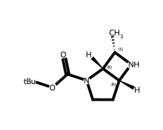 C[C@@H]1N[C@@H]2CCN(C(=O)OC(C)(C)C)[C@H]12